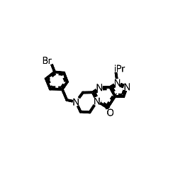 CC(C)n1ncc2c(=O)n3c(nc21)CN(Cc1ccc(Br)cc1)CC3